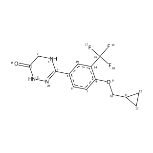 O=C1CNC(c2ccc(OCC3CC3)c(C(F)(F)F)c2)=NN1